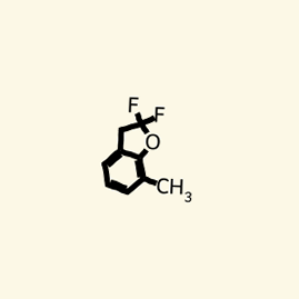 Cc1cccc2c1OC(F)(F)C2